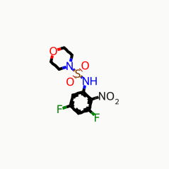 O=[N+]([O-])c1c(F)cc(F)cc1NS(=O)(=O)N1CCOCC1